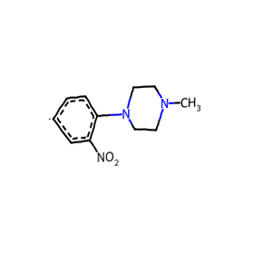 CN1CCN(c2cc[c]cc2[N+](=O)[O-])CC1